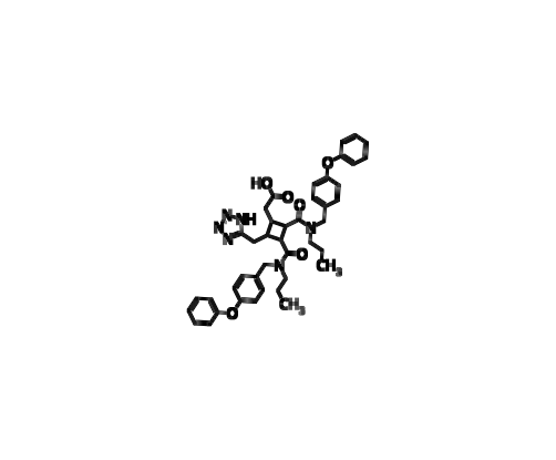 CCCN(Cc1ccc(Oc2ccccc2)cc1)C(=O)C1C(CC(=O)O)C(Cc2nnn[nH]2)C1C(=O)N(CCC)Cc1ccc(Oc2ccccc2)cc1